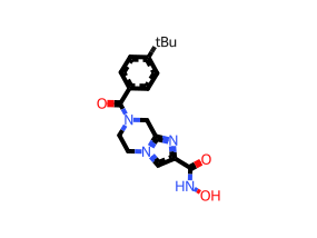 CC(C)(C)c1ccc(C(=O)N2CCn3cc(C(=O)NO)nc3C2)cc1